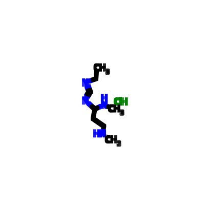 CCN=C=NC(CCNC)NC.Cl